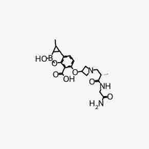 CC1C2B(O)Oc3c(ccc(OC4CN(C[C@H](C)C(=O)NCC(N)=O)C4)c3C(=O)O)C12